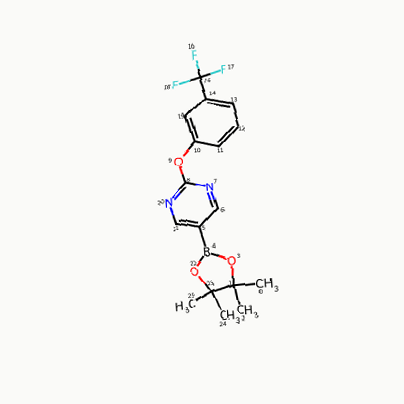 CC1(C)OB(c2cnc(Oc3cccc(C(F)(F)F)c3)nc2)OC1(C)C